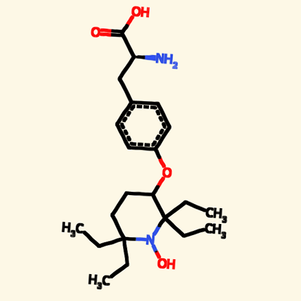 CCC1(CC)CCC(Oc2ccc(C[C@H](N)C(=O)O)cc2)C(CC)(CC)N1O